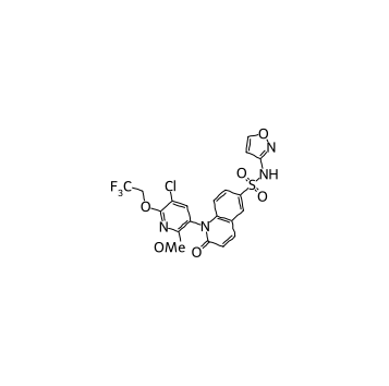 COc1nc(OCC(F)(F)F)c(Cl)cc1-n1c(=O)ccc2cc(S(=O)(=O)Nc3ccon3)ccc21